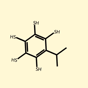 CC(C)c1c(S)c(S)c(S)c(S)c1S